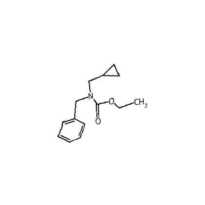 CCOC(=O)N(Cc1ccccc1)CC1CC1